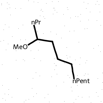 [CH2]CCC(CCCCCCCC)OC